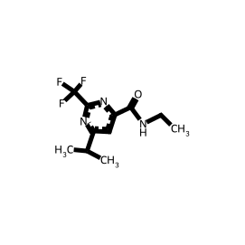 CCNC(=O)c1cc(C(C)C)nc(C(F)(F)F)n1